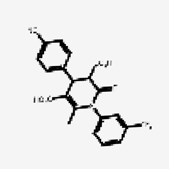 CC1=C(C(=O)O)C(c2ccc(C#N)cc2)C(C(=O)O)C(=O)N1c1cccc(C(F)(F)F)c1